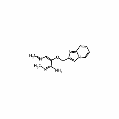 C=N/C=C(OCc1cn2ccccc2n1)\C(N)=N/C